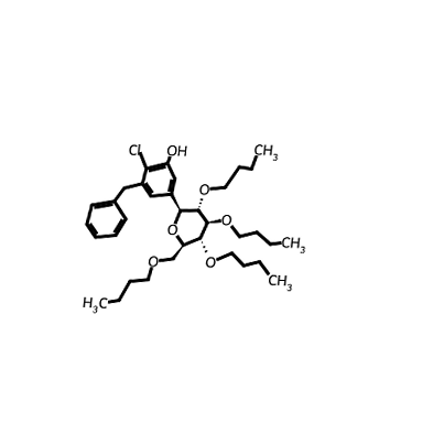 CCCCOC[C@H]1O[C@@H](c2cc(O)c(Cl)c(Cc3ccccc3)c2)[C@H](OCCCC)[C@@H](OCCCC)[C@@H]1OCCCC